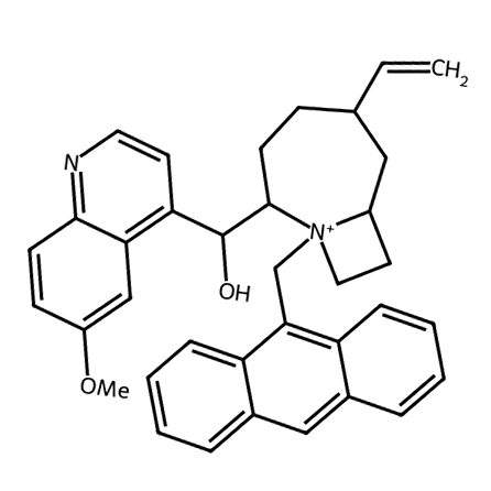 C=CC1CCC(C(O)c2ccnc3ccc(OC)cc23)[N+]2(Cc3c4ccccc4cc4ccccc34)CCC2C1